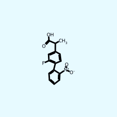 CC(C(=O)O)c1ccc(-c2ccccc2[N+](=O)[O-])c(F)c1